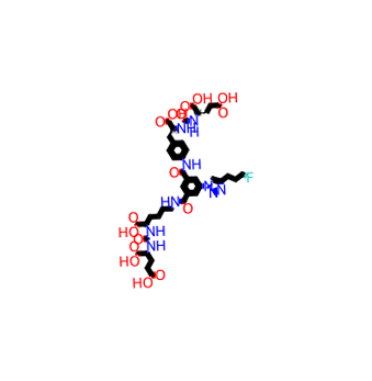 O=C(O)CCC(NC(=O)NC(CCCCNC(=O)c1cc(C(=O)Nc2ccc(C[C@H](NC(=O)N[C@@H](CCC(=O)O)C(=O)O)C(=O)O)cc2)cc(-n2cc(CCCF)nn2)c1)C(=O)O)C(=O)O